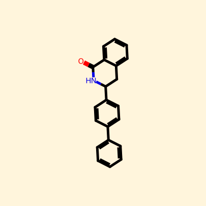 O=C1NC(c2ccc(-c3ccccc3)cc2)Cc2ccccc21